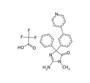 CN1C(=O)C(c2ccccc2)(c2cccc(-c3ccncc3)c2)N=C1N.O=C(O)C(F)(F)F